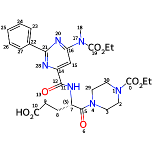 CCOC(=O)N1CCN(C(=O)[C@H](CCC(=O)O)NC(=O)c2cc(N(C)C(=O)OCC)nc(-c3ccccc3)n2)CC1